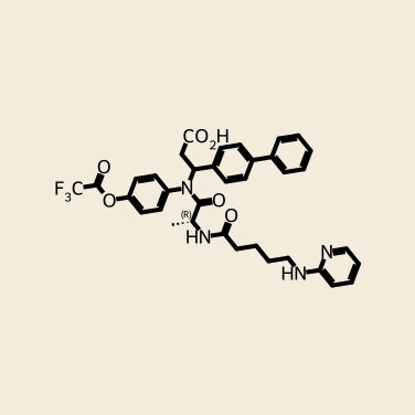 C[C@@H](NC(=O)CCCCNc1ccccn1)C(=O)N(c1ccc(OC(=O)C(F)(F)F)cc1)C(CC(=O)O)c1ccc(-c2ccccc2)cc1